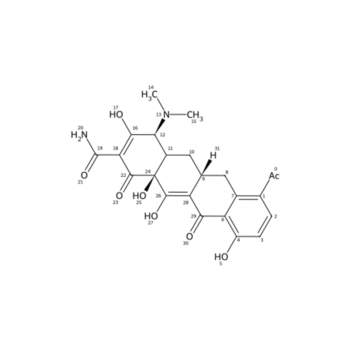 CC(=O)c1ccc(O)c2c1C[C@H]1CC3[C@H](N(C)C)C(O)=C(C(N)=O)C(=O)[C@@]3(O)C(O)=C1C2=O